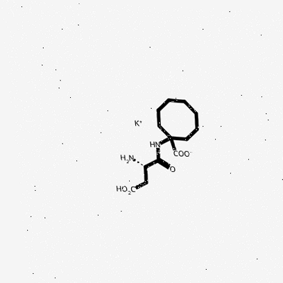 N[C@@H](CC(=O)O)C(=O)NC1(C(=O)[O-])CCCCCCC1.[K+]